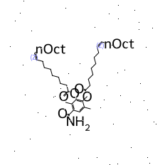 CCCCCCCC/C=C\CCCCCCCC(=O)Oc1c(C)cc(C(N)=O)c(C)c1OC(=O)CCCCCCC/C=C\CCCCCCCC